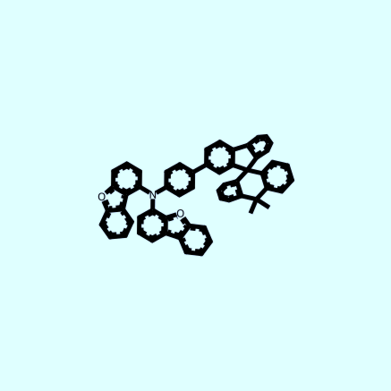 CC1(C)c2ccccc2C2(c3ccccc3-c3ccc(-c4ccc(N(c5cccc6c5oc5ccccc56)c5cccc6oc7ccccc7c56)cc4)cc32)c2ccccc21